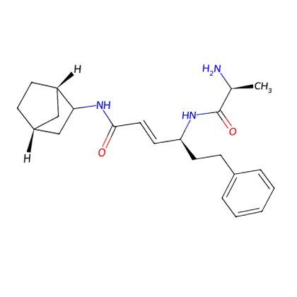 C[C@H](N)C(=O)N[C@H](/C=C/C(=O)NC1C[C@@H]2CC[C@H]1C2)CCc1ccccc1